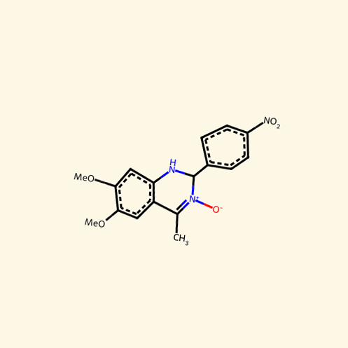 COc1cc2c(cc1OC)C(C)=[N+]([O-])C(c1ccc([N+](=O)[O-])cc1)N2